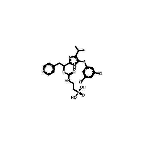 CC(C)c1nc(C(Cc2ccncc2)OC(=O)NCCP(=O)(O)O)[nH]c1Sc1cc(Cl)cc(Cl)c1